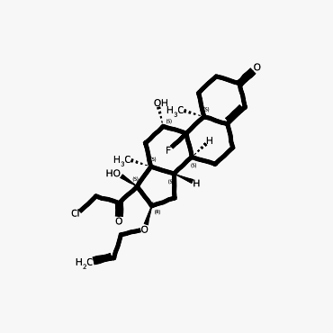 C=CCO[C@@H]1C[C@H]2[C@@H]3CCC4=CC(=O)CC[C@]4(C)C3(F)[C@@H](O)C[C@]2(C)[C@@]1(O)C(=O)CCl